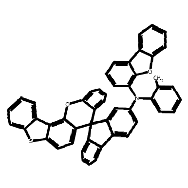 Cc1ccccc1N(c1ccc2c(c1)C1(c3ccccc3Oc3c1ccc1sc4ccccc4c31)c1ccccc1-2)c1cccc2c1oc1ccccc12